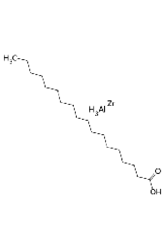 CCCCCCCCCCCCCCCCCC(=O)O.[AlH3].[Zr]